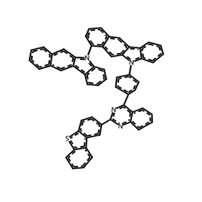 c1ccc2cc3c(cc2c1)c1ccccc1n3-c1cccc2cc3c4ccccc4n(-c4ccc(-c5nc(-c6ccc7sc8ccccc8c7c6)nc6ccccc56)cc4)c3cc12